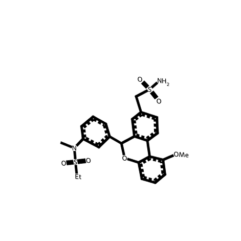 CCS(=O)(=O)N(C)c1cccc(C2Oc3cccc(OC)c3-c3ccc(CS(N)(=O)=O)cc32)c1